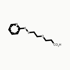 O=C(O)CCOCCSSc1ccccn1